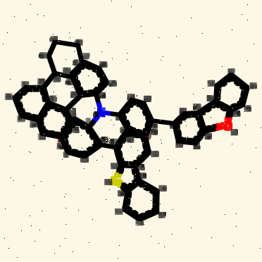 c1ccc(N(c2ccc(-c3ccc4oc5ccccc5c4c3)cc2)c2ccccc2-c2cccc3cccc(C4CCCCC4)c23)c(-c2cccc3c2sc2ccccc23)c1